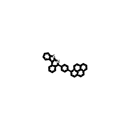 c1cc2ccc3ccc(-c4ccc(-c5nc6sc7ccccc7c6c6ccccc56)cc4)c4ccc(c1)c2c34